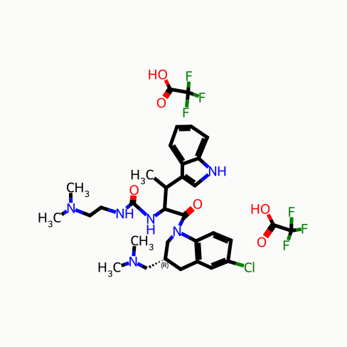 CC(c1c[nH]c2ccccc12)C(NC(=O)NCCN(C)C)C(=O)N1C[C@@H](CN(C)C)Cc2cc(Cl)ccc21.O=C(O)C(F)(F)F.O=C(O)C(F)(F)F